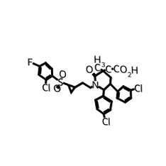 CC1(CC(=O)O)CC(c2cccc(Cl)c2)C(c2ccc(Cl)cc2)N(CCC2CC2S(=O)(=O)c2ccc(F)cc2Cl)C1=O